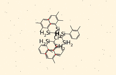 Cc1cccc([SiH2][CH]([SiH2]c2cccc(C)c2C)[Cr]([CH]([SiH2]c2cccc(C)c2C)[SiH2]c2cccc(C)c2C)[CH]([SiH2]c2cccc(C)c2C)[SiH2]c2cccc(C)c2C)c1C